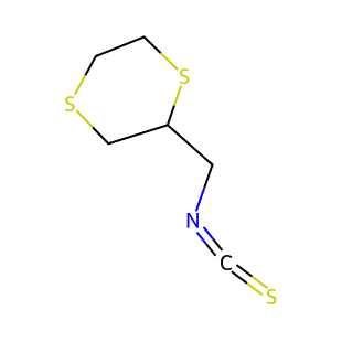 S=C=NCC1CSCCS1